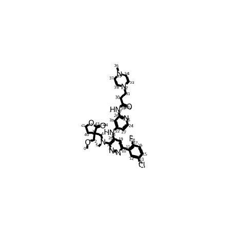 COCC1(CN(C)c2nnc(-c3cc(Cl)ccc3F)cc2Nc2ccnc(NC(=O)CCN3CCN(C)CC3)c2)CCOC1=O